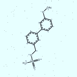 CC(=O)OOc1cccc(-c2cccc(COS(C)(=O)=O)c2)c1